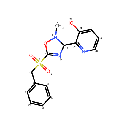 CN1OC(S(=O)(=O)Cc2ccccc2)=NC1c1ncccc1O